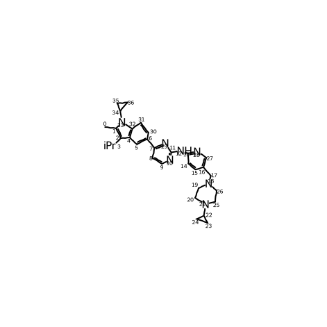 Cc1c(C(C)C)c2cc(-c3ccnc(Nc4ccc(CN5CCN(C6CC6)CC5)cn4)n3)ccc2n1C1CC1